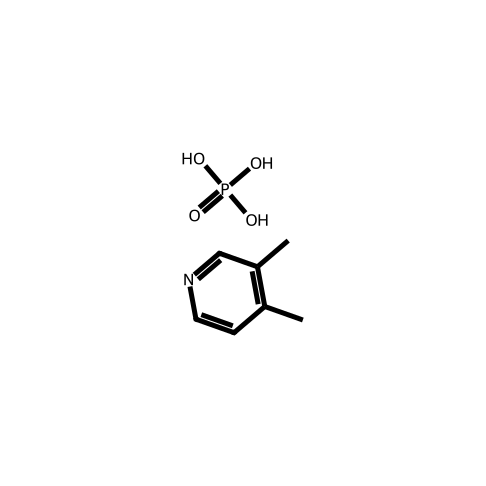 Cc1ccncc1C.O=P(O)(O)O